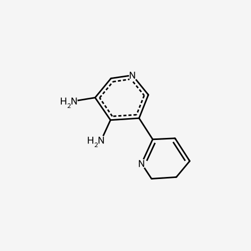 Nc1cncc(C2=NCCC=C2)c1N